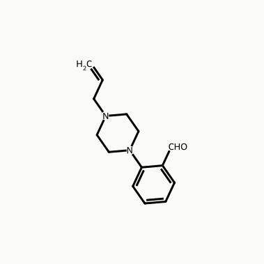 C=CCN1CCN(c2ccccc2C=O)CC1